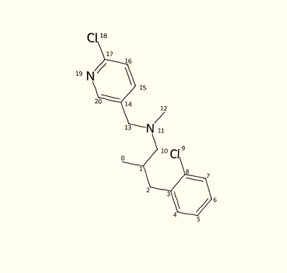 CC(Cc1ccccc1Cl)CN(C)Cc1ccc(Cl)nc1